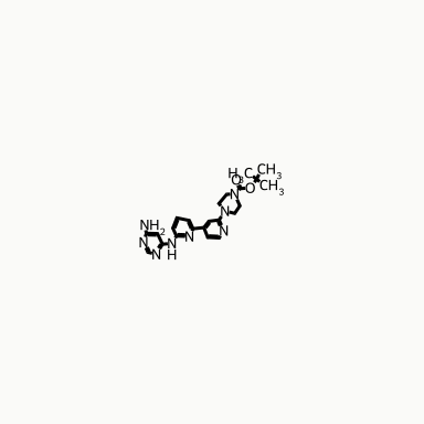 CC(C)(C)OC(=O)N1CCN(c2cc(-c3cccc(Nc4cc(N)ncn4)n3)ccn2)CC1